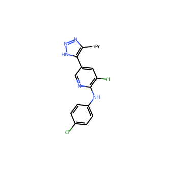 CCCc1nn[nH]c1-c1cnc(Nc2ccc(Cl)cc2)c(Cl)c1